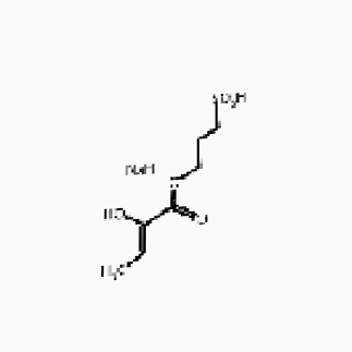 CC=C(O)C(=O)OCCCS(=O)(=O)O.[NaH]